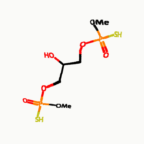 COP(=O)(S)OCC(O)COP(=O)(S)OC